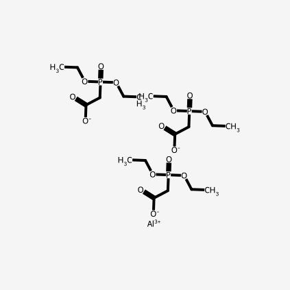 CCOP(=O)(CC(=O)[O-])OCC.CCOP(=O)(CC(=O)[O-])OCC.CCOP(=O)(CC(=O)[O-])OCC.[Al+3]